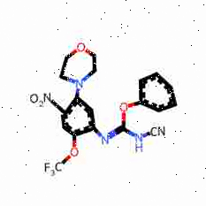 N#CN/C(=N/c1cc(N2CCOCC2)c([N+](=O)[O-])cc1OC(F)(F)F)Oc1ccccc1